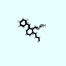 CCCCC1CCC/C(=C\c2ccccc2)C1C=NO